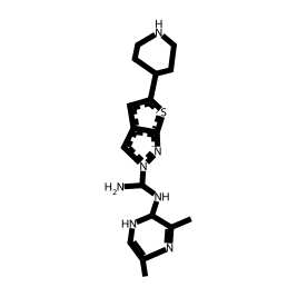 CC1=CNC(NC(N)n2cc3cc(C4CCNCC4)sc3n2)C(C)=N1